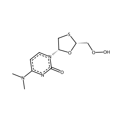 CN(C)c1ccn([C@@H]2CS[C@H](COO)O2)c(=O)n1